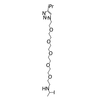 CC(I)NCCOCCOCCOCCOCCOCCn1cc(C(C)C)nn1